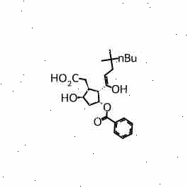 CCCCC(C)(C)CC=C(O)[C@H]1[C@H](CC(=O)O)[C@H](O)C[C@H]1OC(=O)c1ccccc1